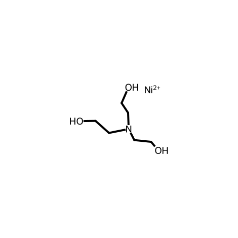 OCCN(CCO)CCO.[Ni+2]